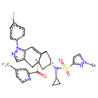 CCn1ccc(S(=O)(=O)N(C2CC2)[C@H]2CCC3=Cc4c(cnn4-c4ccc(F)cc4)C[C@]3(C(=O)c3cc(C(F)(F)F)ccn3)C2)n1